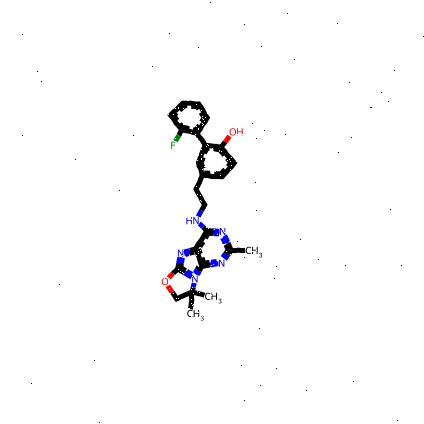 Cc1nc(NCCc2ccc(O)c(-c3ccccc3F)c2)c2nc3n(c2n1)C(C)(C)CO3